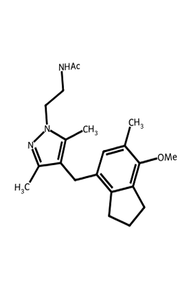 COc1c(C)cc(Cc2c(C)nn(CCNC(C)=O)c2C)c2c1CCC2